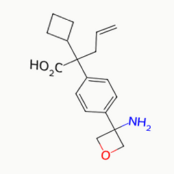 C=CCC(C(=O)O)(c1ccc(C2(N)COC2)cc1)C1CCC1